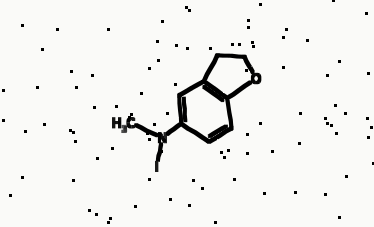 CN(I)c1ccc2c(c1)CCO2